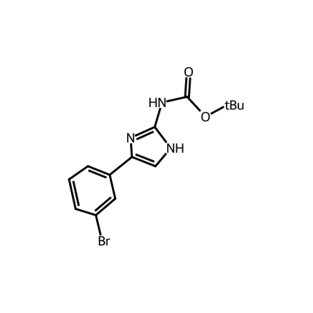 CC(C)(C)OC(=O)Nc1nc(-c2cccc(Br)c2)c[nH]1